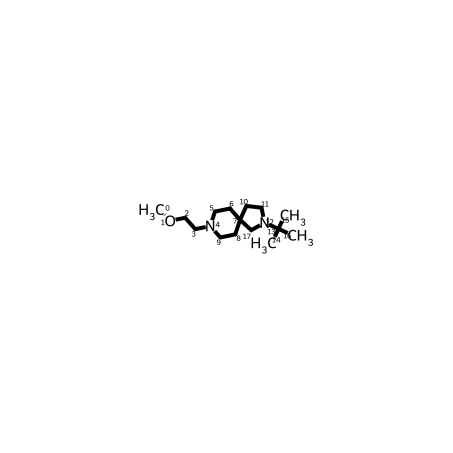 COCCN1CCC2(CC1)CCN(C(C)(C)C)C2